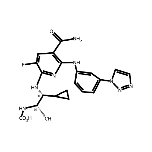 C[C@H](NC(=O)O)[C@H](Nc1nc(Nc2cccc(-n3ccnn3)c2)c(C(N)=O)cc1F)C1CC1